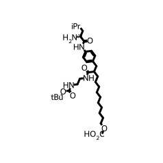 CC(C)C[C@H](N)C(=O)Nc1ccc(CC(CCCCCCCCCCOC(=O)O)C(=O)NCCNC(=O)OC(C)(C)C)cc1